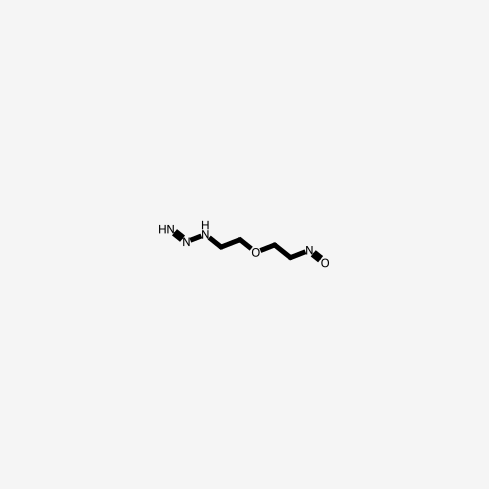 N=NNCCOCCN=O